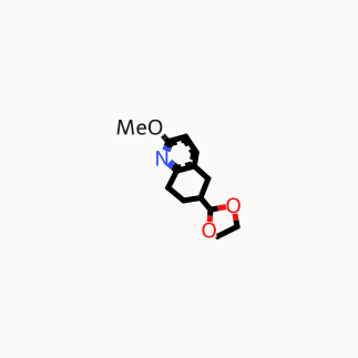 COc1ccc2c(n1)CCC(C1OCCO1)C2